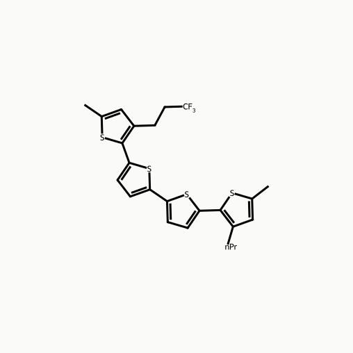 CCCc1cc(C)sc1-c1ccc(-c2ccc(-c3sc(C)cc3CCC(F)(F)F)s2)s1